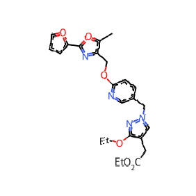 CCOC(=O)Cc1cn(Cc2ccc(OCc3nc(-c4ccco4)oc3C)nc2)nc1OCC